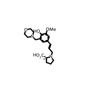 COc1cc(C=CCN2CCC[C@H]2C(=O)O)cc(CN2CCOCC2)c1O